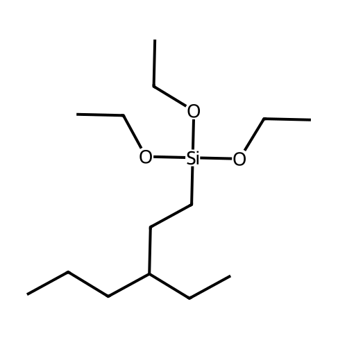 CCCC(CC)CC[Si](OCC)(OCC)OCC